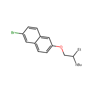 CCCCC(CC)COc1ccc2cc(Br)ccc2c1